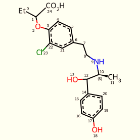 CCC(Oc1ccc(CCN[C@@H](C)C(O)c2ccc(O)cc2)cc1Cl)C(=O)O